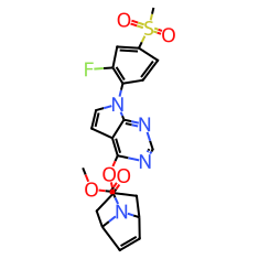 COC(=O)N1C2C=CC1CC(Oc1ncnc3c1ccn3-c1ccc(S(C)(=O)=O)cc1F)C2